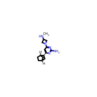 CNC1CN(c2cc([C@H]3C[C@@H]4CC[C@H]3C4)nc(N)n2)C1